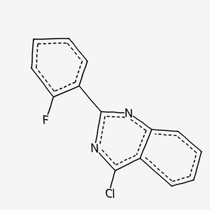 Fc1ccccc1-c1nc(Cl)c2ccccc2n1